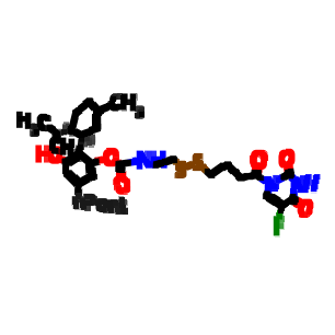 C=C(C)[C@@H]1CCC(C)=C[C@H]1c1c(O)cc(CCCCC)cc1OC(=O)NCCSSCCCC(=O)n1cc(F)c(=O)[nH]c1=O